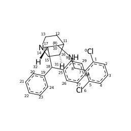 Clc1cccc(Cl)c1CN[C@@H]1C2CCN(CC2)[C@H]1C(c1ccccc1)c1ccccc1